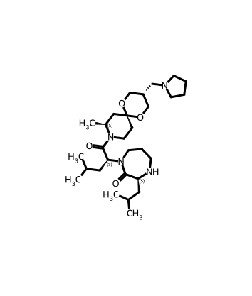 CC(C)C[C@@H]1NCCCN([C@@H](CC(C)C)C(=O)N2CC[C@]3(C[C@@H]2C)OC[C@@H](CN2CCCC2)CO3)C1=O